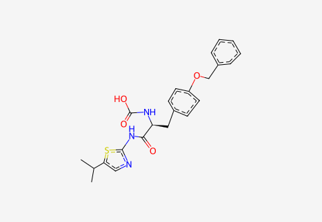 CC(C)c1cnc(NC(=O)[C@H](Cc2ccc(OCc3ccccc3)cc2)NC(=O)O)s1